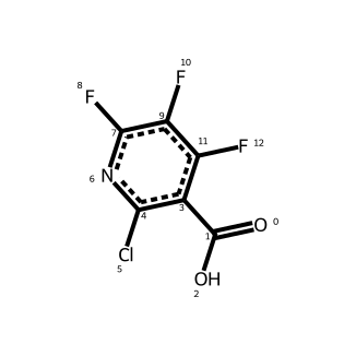 O=C(O)c1c(Cl)nc(F)c(F)c1F